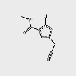 CNC(=O)c1cn(CC#N)nc1Cl